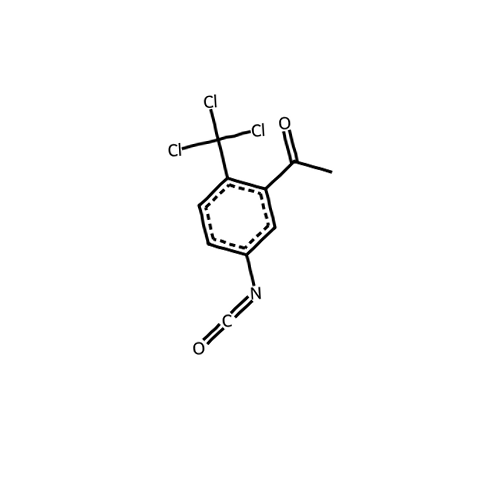 CC(=O)c1cc(N=C=O)ccc1C(Cl)(Cl)Cl